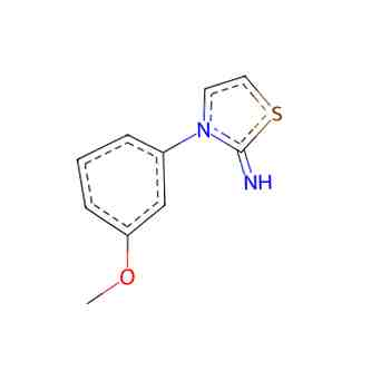 COc1cccc(-n2ccsc2=N)c1